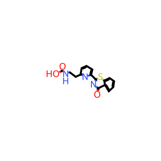 O=C(O)NCCc1cccc(-c2nc(=O)c3ccccc3s2)n1